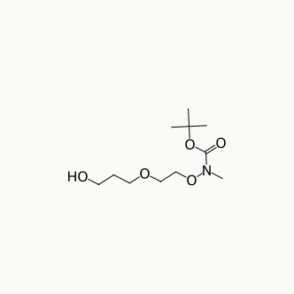 CN(OCCOCCCO)C(=O)OC(C)(C)C